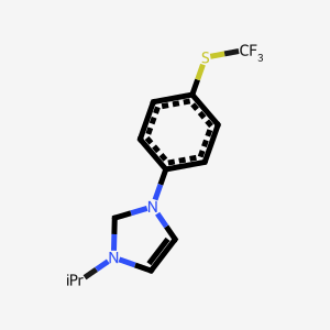 CC(C)N1C=CN(c2ccc(SC(F)(F)F)cc2)C1